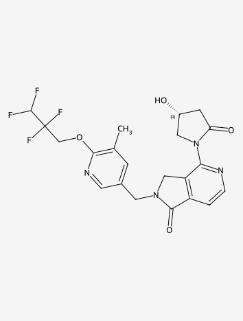 Cc1cc(CN2Cc3c(ccnc3N3C[C@H](O)CC3=O)C2=O)cnc1OCC(F)(F)C(F)F